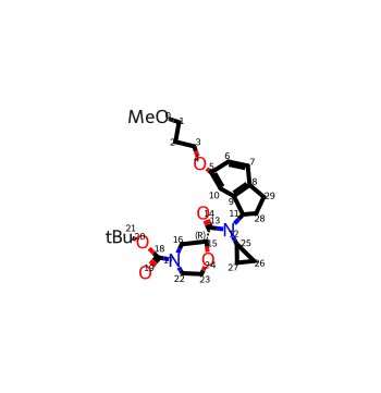 COCCCOc1ccc2c(c1)C(N(C(=O)[C@H]1CN(C(=O)OC(C)(C)C)CCO1)C1CC1)CC2